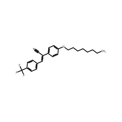 CCCCCCCCOc1ccc(/C(C#N)=C/c2ccc(C(F)(F)F)cc2)cc1